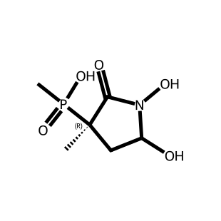 C[C@@]1(P(C)(=O)O)CC(O)N(O)C1=O